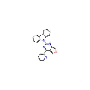 c1ccc(-c2nc(-n3c4ccccc4c4ccccc43)nc3cocc23)nc1